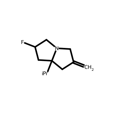 C=C1CN2CC(F)CC2(C(C)C)C1